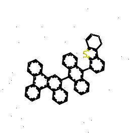 C1=Cc2sc3c(-c4c5ccccc5c(-c5cc6c7ccccc7c7ccccc7c6c6ccccc56)c5ccccc45)cccc3c2CC1